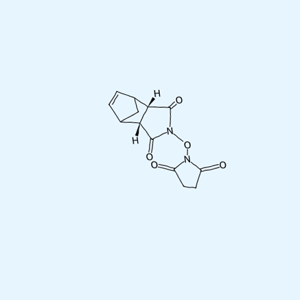 O=C1CCC(=O)N1ON1C(=O)[C@@H]2C3C=CC(C3)[C@@H]2C1=O